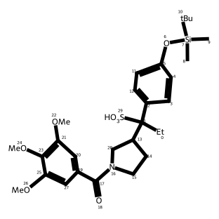 CCC(c1ccc(O[Si](C)(C)C(C)(C)C)cc1)(C1CCN(C(=O)c2cc(OC)c(OC)c(OC)c2)C1)S(=O)(=O)O